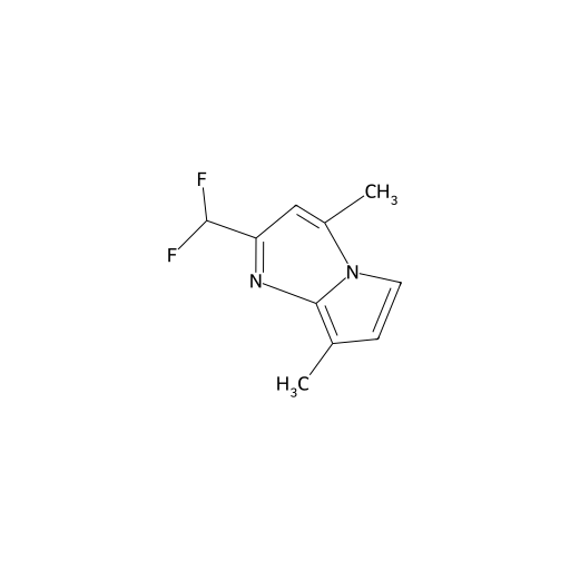 Cc1ccn2c(C)cc(C(F)F)nc12